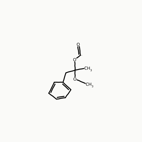 COC(C)(Cc1ccccc1)O[C]=O